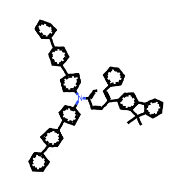 C\C=C(/C=C\C(=C\c1ccccc1)c1ccc2c(c1)C(C)(C)c1ccccc1-2)N(c1ccc(-c2ccc(-c3ccccc3)cc2)cc1)c1ccc(-c2ccc(-c3ccccc3)cc2)cc1